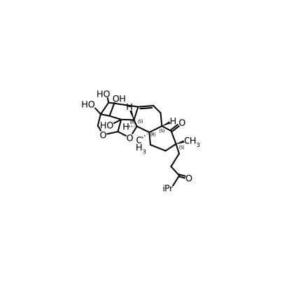 CC(C)C(=O)CC[C@]1(C)CC[C@]2(C)[C@H](CC=C3C(O)C4(O)COC5O[C@H]2[C@@H]3C5(O)C4O)C1=O